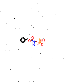 O=C(NCO[PH](=O)O)OCc1ccccc1